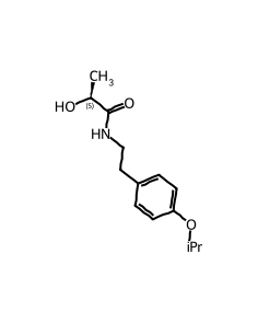 CC(C)Oc1ccc(CCNC(=O)[C@H](C)O)cc1